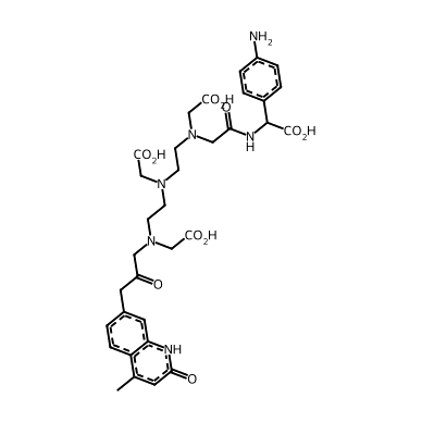 Cc1cc(=O)[nH]c2cc(CC(=O)CN(CCN(CCN(CC(=O)O)CC(=O)NC(C(=O)O)c3ccc(N)cc3)CC(=O)O)CC(=O)O)ccc12